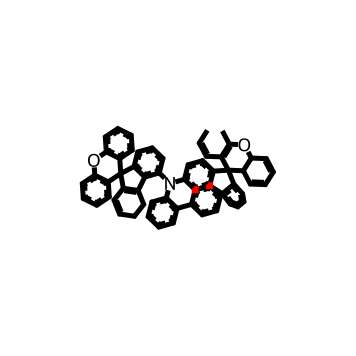 C/C=C\C1=C(C)OC2C=CC=CC2C12c1ccccc1-c1cc(N(c3ccccc3-c3ccccc3)c3cccc4c3C3=C(C=CCC3)C43c4ccccc4Oc4ccccc43)ccc12